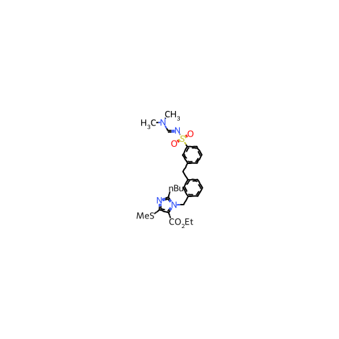 CCCCc1nc(SC)c(C(=O)OCC)n1Cc1cccc(Cc2cccc(S(=O)(=O)N=CN(C)C)c2)c1